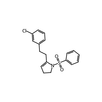 O=S(=O)(c1ccccc1)N1CCC=C1CCc1cccc(Cl)c1